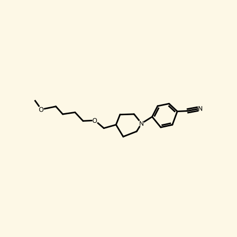 COCCCCOCC1CCN(c2ccc(C#N)cc2)CC1